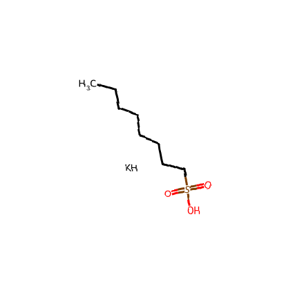 CCCCCCCCS(=O)(=O)O.[KH]